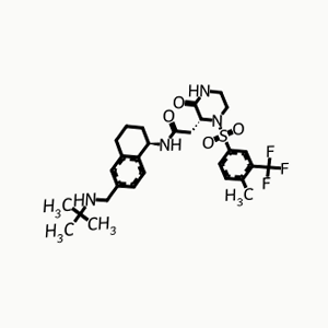 Cc1ccc(S(=O)(=O)N2CCNC(=O)[C@H]2CC(=O)N[C@@H]2CCCc3cc(CNC(C)(C)C)ccc32)cc1C(F)(F)F